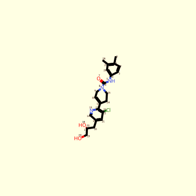 Cc1ccc(NC(=O)N2CC=C(c3ncc(C[C@H](O)CO)cc3Cl)CC2)cc1C